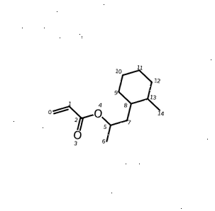 C=CC(=O)OC(C)CC1CCCCC1C